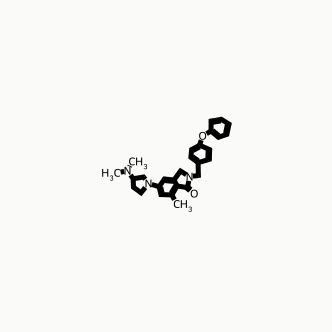 Cc1cc(N2CCC(N(C)C)C2)cc2c1C(=O)N(Cc1ccc(Oc3ccccc3)cc1)C2